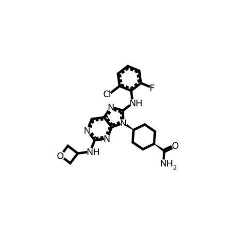 NC(=O)[C@H]1CC[C@@H](n2c(Nc3c(F)cccc3Cl)nc3cnc(NC4COC4)nc32)CC1